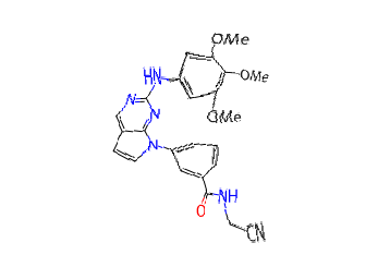 COc1cc(Nc2ncc3ccn(-c4cccc(C(=O)NCC#N)c4)c3n2)cc(OC)c1OC